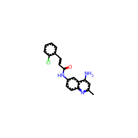 Cc1cc(N)c2cc(NC(=O)C=Cc3ccccc3Cl)ccc2n1